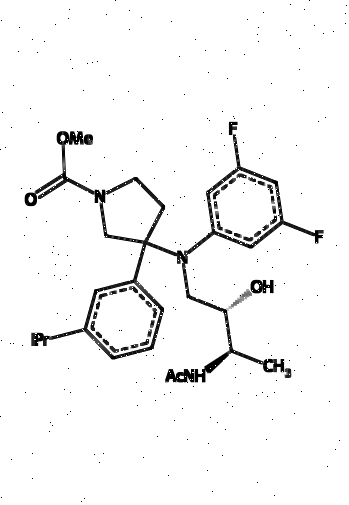 COC(=O)N1CCC(c2cccc(C(C)C)c2)(N(C[C@H](O)[C@@H](C)NC(C)=O)c2cc(F)cc(F)c2)C1